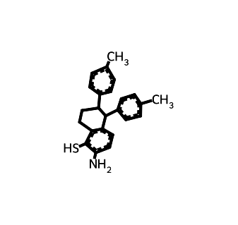 Cc1ccc(C2CCc3c(ccc(N)c3S)C2c2ccc(C)cc2)cc1